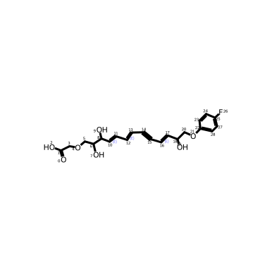 O=C(O)COCC(O)C(O)/C=C/C=C/C#C/C=C/C(O)COc1ccc(F)cc1